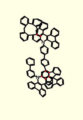 c1ccc(-c2cccc(N(c3ccc4c(c3)C3(c5ccccc5-c5ccccc53)c3ccccc3-4)c3c(-c4cccc5cc(-c6ccc(-c7ccc(N(c8ccc9c(c8)Cc8ccccc8-c8ccccc8Cc8ccccc8-9)c8c(-c9cccc%10ccccc9%10)c9ccccc9c9ccccc89)cc7)cc6)ccc45)c4ccccc4c4ccccc34)c2)cc1